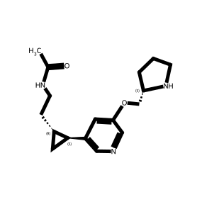 CC(=O)NCC[C@H]1C[C@@H]1c1cncc(OC[C@@H]2CCCN2)c1